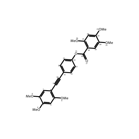 COc1cc(OC)c(OC)cc1C#Cc1ccc(OC(=O)c2cc(OC)c(OC)cc2OC)cc1